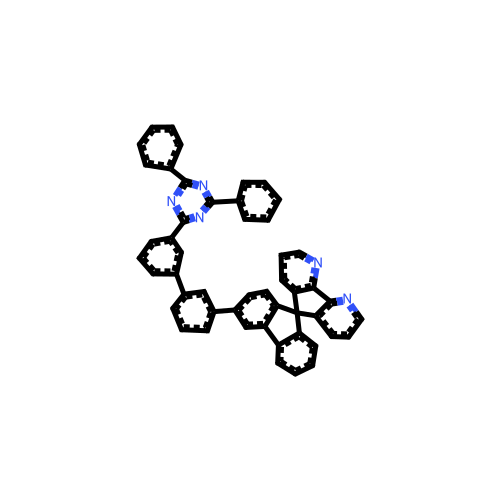 c1ccc(-c2nc(-c3ccccc3)nc(-c3cccc(-c4cccc(-c5ccc6c(c5)-c5ccccc5C65c6cccnc6-c6ncccc65)c4)c3)n2)cc1